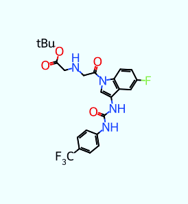 CC(C)(C)OC(=O)CNCC(=O)n1cc(NC(=O)Nc2ccc(C(F)(F)F)cc2)c2cc(F)ccc21